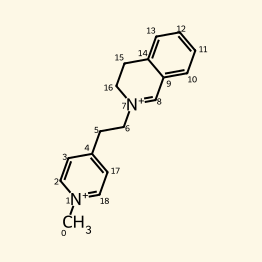 C[n+]1ccc(CC[N+]2=Cc3ccccc3CC2)cc1